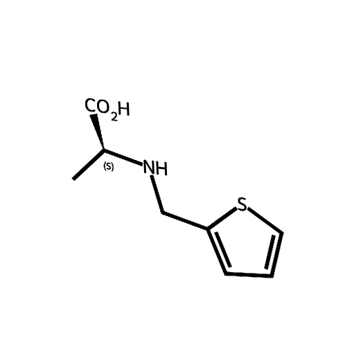 C[C@H](NCc1cccs1)C(=O)O